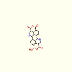 O=C1OC(=O)c2cnc3c4ccc5c6c(cnc(c7ccc1c2c73)c64)C(=O)OC5O